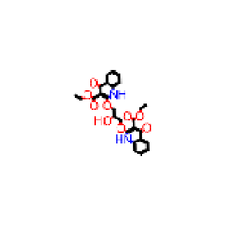 CCOC(=O)c1c(OCC(O)COc2[nH]c3ccccc3c(=O)c2C(=O)OCC)[nH]c2ccccc2c1=O